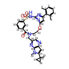 Cc1cccc(C)c1-c1cc2nc(n1)NS(=O)(=O)c1cccc(c1)C(=O)N(Cc1cnc3cc(C4(C)CC4)n(C)c3n1)CCO2